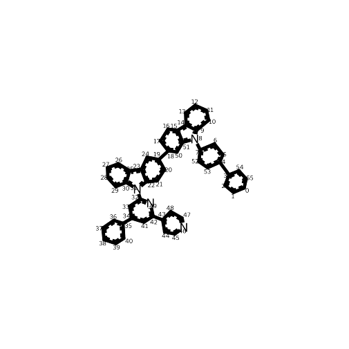 c1ccc(-c2ccc(-n3c4ccccc4c4ccc(-c5ccc6c(c5)c5ccccc5n6-c5cc(-c6ccccc6)cc(-c6ccncc6)n5)cc43)cc2)cc1